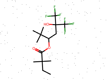 CCC(C)(C)C(=O)OC(CC(O)(C(F)(F)F)C(F)(F)F)C(C)(C)C